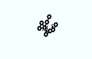 c1ccc(-c2ccc(-c3nc(-n4c5ccccc5c5cc6ccc7c8ccccc8sc7c6cc54)nc4c5ccccc5c5ccccc5c34)cc2)cc1